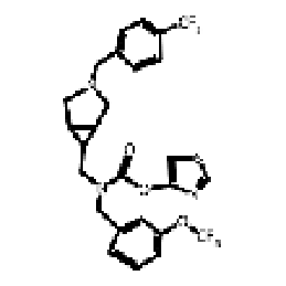 O=C(Oc1cscn1)N(Cc1cccc(OC(F)(F)F)c1)CC1C2CN(Cc3ccc(C(F)(F)F)cc3)CC21